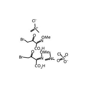 C=[N+](C)C.C=[N+](C)C.CON=C(C(=O)O)C(=O)CBr.CON=C(C(=O)O)C(=O)CBr.O=S(=O)([O-])Cl.[Cl-]